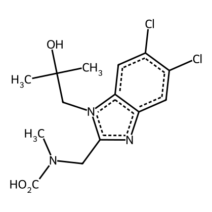 CN(Cc1nc2cc(Cl)c(Cl)cc2n1CC(C)(C)O)C(=O)O